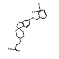 O=C(O)CCN1CCC2(CC1)COc1cc(OCc3cccc(Cl)c3Cl)ccc12